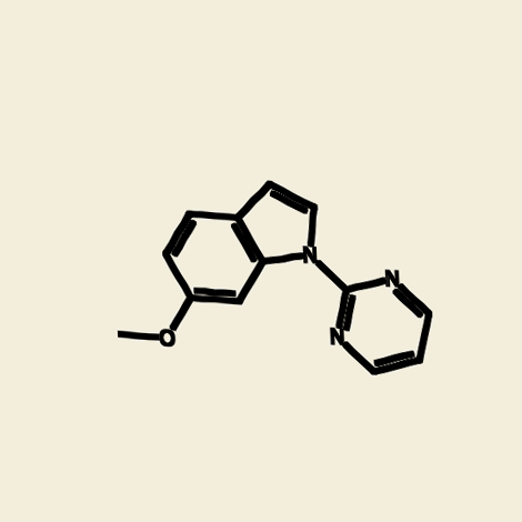 COc1ccc2ccn(-c3ncccn3)c2c1